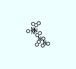 c1ccc(-c2nc(-c3ccc(-n4c5cc6ccccc6cc5c5c(-n6c7ccccc7c7ccccc76)cccc54)c4ccccc34)nc(-c3cc4ccccc4c4ccccc34)n2)cc1